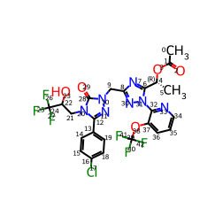 CC(=O)O[C@H](C)c1nc(Cn2nc(-c3ccc(Cl)cc3)n(CC(O)C(F)(F)F)c2=O)nn1-c1ncccc1OC(F)(F)F